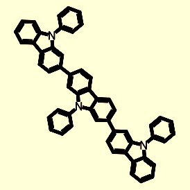 c1ccc(-n2c3ccccc3c3ccc(-c4ccc5c6ccc(-c7ccc8c9ccccc9n(-c9ccccc9)c8c7)cc6n(-c6ccccc6)c5c4)cc32)cc1